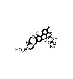 CC(C)(C)OC(=O)Nc1nc2c(-c3c(Cl)cc4c(c3Cl)OCC[C@@H]3CN(C(=O)O)CCN3C4)ccc(F)c2s1